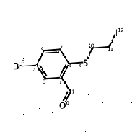 O=Cc1cc(Br)ccc1SCCI